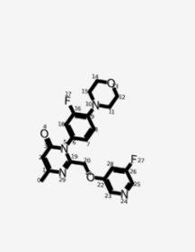 Cc1cc(=O)n(-c2ccc(N3CCOCC3)c(F)c2)c(COc2cncc(F)c2)n1